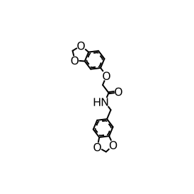 O=C(COc1ccc2c(c1)OCO2)NCc1ccc2c(c1)OCO2